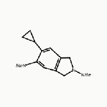 CNc1cc2c(cc1C1CC1)CN(NC)C2